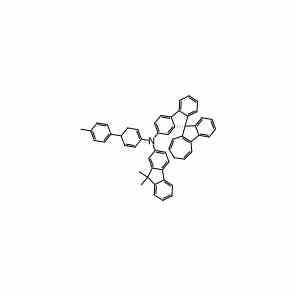 Cc1ccc(C2C=CC(N(c3ccc4c(c3)C(C)(C)c3ccccc3-4)c3ccc4c(c3)[C@]3(C5=C(C=CCC=C5)c5ccccc53)c3ccccc3-4)=CC2)cc1